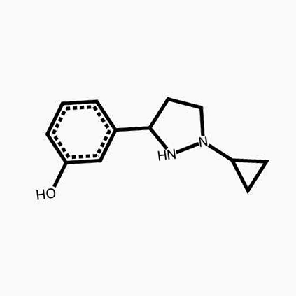 Oc1cccc(C2CCN(C3CC3)N2)c1